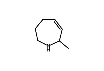 CC1C=CCCCN1